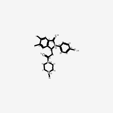 Cc1cc2c(cc1C)C(CC(=O)N1CCN(C)CC1)N(c1ccc(F)cc1)C2=S